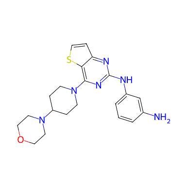 Nc1cccc(Nc2nc(N3CCC(N4CCOCC4)CC3)c3sccc3n2)c1